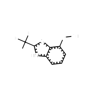 COc1cc[c]c2[nH]c(C(F)(F)F)nc12